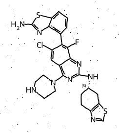 Nc1nc2c(-c3c(Cl)cc4c(N5CCNCC5)nc(N[C@H]5CCc6ncsc6C5)nc4c3F)cccc2s1